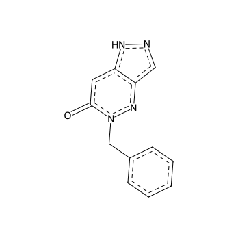 O=c1cc2[nH]ncc2nn1Cc1ccccc1